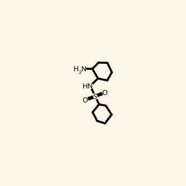 NC1CCCCC1NS(=O)(=O)C1CCCCC1